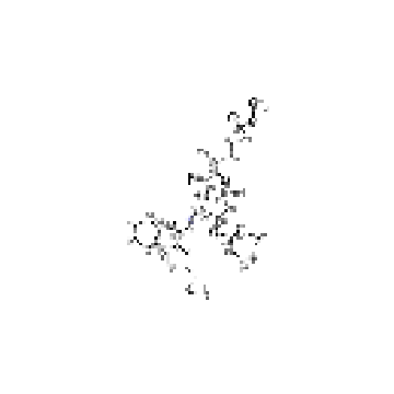 CCCCC(C)[C@H](/C=C/[C@@H]1[C@H]2C(F)C(C(I)CCCC(=O)OC)O[C@H]2C[C@H]1OC1CCCCO1)OC1CCCCO1